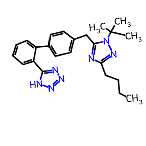 CCCCc1nc(Cc2ccc(-c3ccccc3-c3nnn[nH]3)cc2)n(C(C)(C)C)n1